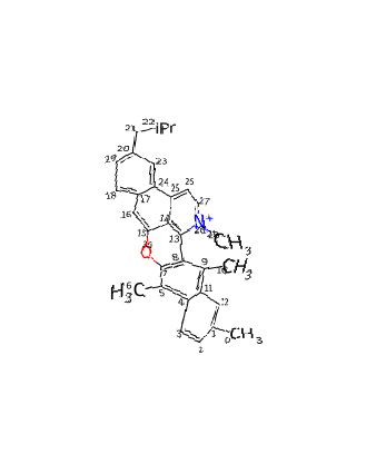 Cc1ccc2c(C)c3c(c(C)c2c1)-c1c2c(cc4ccc(CC(C)C)cc4c2cc[n+]1C)O3